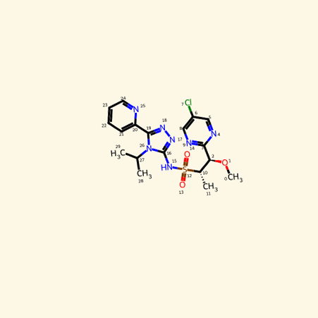 CO[C@H](c1ncc(Cl)cn1)[C@H](C)S(=O)(=O)Nc1nnc(-c2ccccn2)n1C(C)C